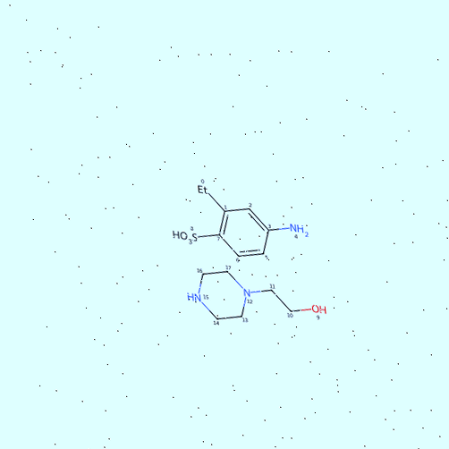 CCc1cc(N)ccc1S(=O)(=O)O.OCCN1CCNCC1